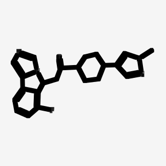 Cn1cc(C2CCC(C(=O)CC3c4c(F)cccc4-c4cncn43)CC2)cn1